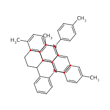 Cc1ccc(N(c2ccc(C)cc2)c2ccccc2C2CCCCC2c2ccccc2N(c2ccc(C)cc2)c2ccc(C)cc2)cc1